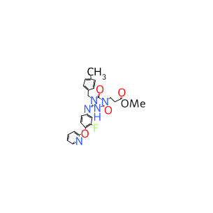 COC(=O)CCn1c(=O)[nH]/c(=N\c2ccc(Oc3ccccn3)c(F)c2)n(Cc2ccc(C)cc2)c1=O